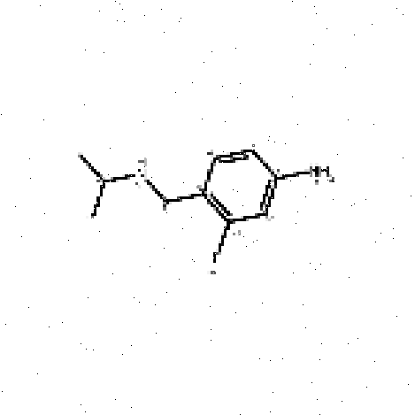 CC(C)NCc1ccc(N)cc1F